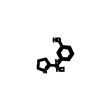 Cl.Oc1cccc(NC2=NCCC2)c1